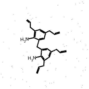 C=CCc1cc(CC=C)c(N)c(Cc2cc(CC=C)cc(CC=C)c2N)c1